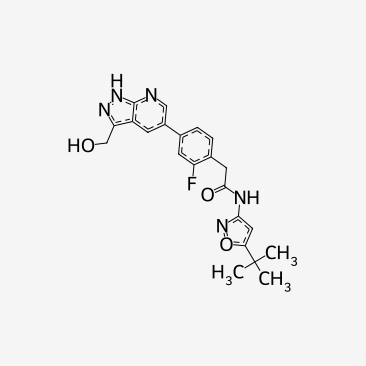 CC(C)(C)c1cc(NC(=O)Cc2ccc(-c3cnc4[nH]nc(CO)c4c3)cc2F)no1